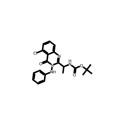 CC(NC(=O)OC(C)(C)C)c1nc2cccc(Cl)c2c(=O)n1Nc1ccccc1